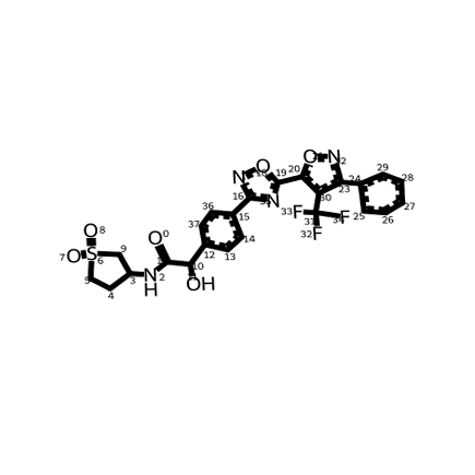 O=C(NC1CCS(=O)(=O)C1)C(O)c1ccc(-c2noc(-c3onc(-c4ccccc4)c3C(F)(F)F)n2)cc1